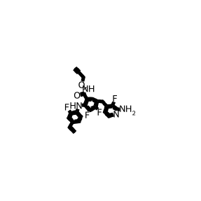 C#CCONC(=O)c1cc(Cc2ccnc(N)c2F)c(F)c(F)c1Nc1ccc(C=C)cc1F